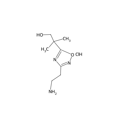 CC(C)(CO)c1nc(CCN)no1.Cl